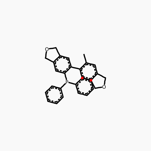 Cc1cc2c(cc1-c1cc3c(cc1P(c1ccccc1)c1ccccc1)COC3)COC2